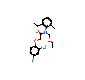 CCOCN(C(=O)COc1ccc(Cl)cc1Cl)c1c(C)cccc1CC